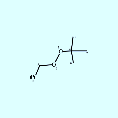 CC(C)[CH]OOC(C)(C)C